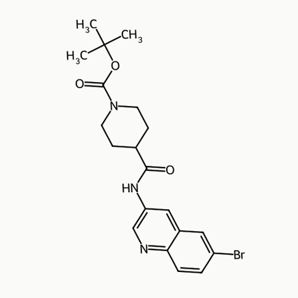 CC(C)(C)OC(=O)N1CCC(C(=O)Nc2cnc3ccc(Br)cc3c2)CC1